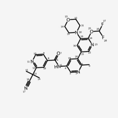 Cc1ncc(NC(=O)c2ccnc(C(C)(C)C#N)c2)cc1-c1cnc(OC(F)F)c(N2CCOCC2)c1